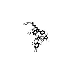 CCCCCCCCCCCCCCCCC=Cc1cccc(N(c2[nH]n(-c3c(Cl)cc(Cl)cc3Cl)c(=O)c2N=Nc2ccc(O)c(C)c2)N2C(=O)CC(Cl)C2=O)c1